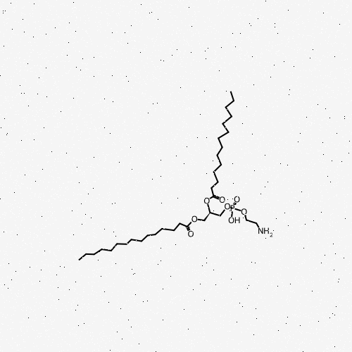 CCCCCCCCCCCCCCC(=O)OC[C@H](COP(=O)(O)OCCN)OC(=O)CCCCCCCCCCCCC